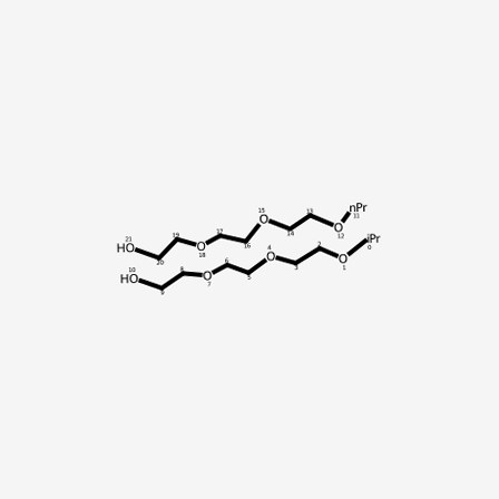 CC(C)OCCOCCOCCO.CCCOCCOCCOCCO